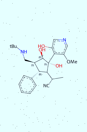 COc1cncc(O)c1[C@@]1(O)C(C(C)C#N)[C@H](c2ccccc2)[C@@H](CNC(C)(C)C)[C@H]1O